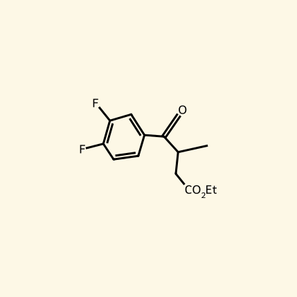 CCOC(=O)CC(C)C(=O)c1ccc(F)c(F)c1